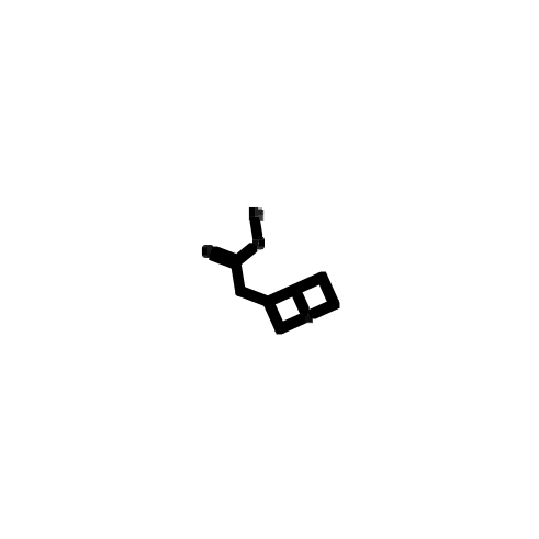 CCOC(=O)CC1CN2CCC12